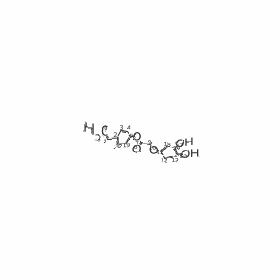 C=Cc1ccc(OC(=O)COc2ccc(O)c(O)c2)cc1